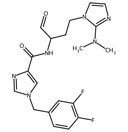 CN(C)c1nccn1CCC(C=O)NC(=O)c1cn(Cc2ccc(F)c(F)c2)cn1